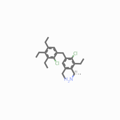 CCc1cc(Cc2cc(CC)c([C@H](C)N)c(CC)c2Cl)c(Cl)c(CC)c1CC